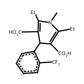 CCC1=C(C(=O)O)C(c2ccccc2C(F)(F)F)C(C(=O)O)=C(CC)N1C